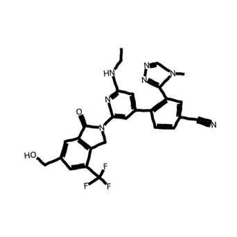 CCNc1cc(-c2ccc(C#N)cc2-c2nncn2C)cc(N2Cc3c(cc(CO)cc3C(F)(F)F)C2=O)n1